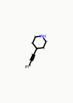 CC(C)C#CC1CCNCC1